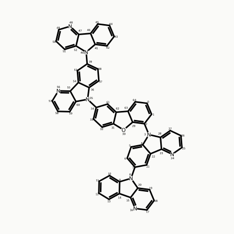 c1cc(-n2c3ccc(-n4c5ccccc5c5ncccc54)cc3c3ncccc32)c2oc3ccc(-n4c5ccc(-n6c7ccccc7c7ncccc76)cc5c5ncccc54)cc3c2c1